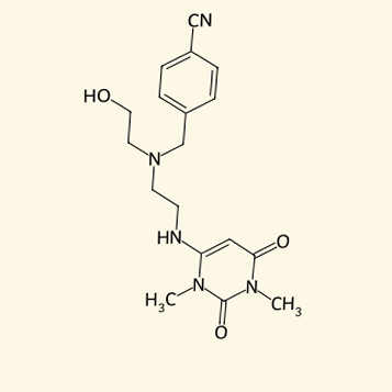 Cn1c(NCCN(CCO)Cc2ccc(C#N)cc2)cc(=O)n(C)c1=O